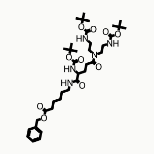 CC(C)(C)OC(=O)NCCN(CCNC(=O)OC(C)(C)C)C(=O)CCC(NC(=O)OC(C)(C)C)C(=O)NCCCCCC(=O)OCc1ccccc1